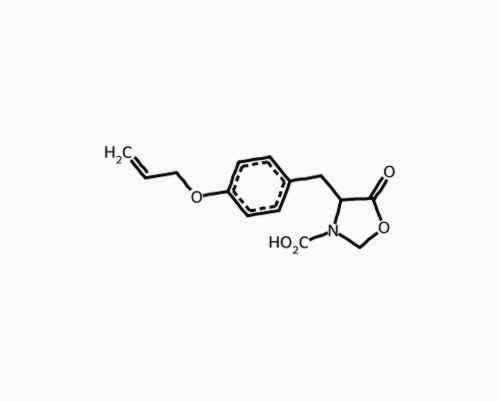 C=CCOc1ccc(CC2C(=O)OCN2C(=O)O)cc1